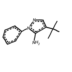 CC(C)(C)c1cnn(-c2ccccc2)c1N